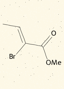 C/C=C(\Br)C(=O)OC